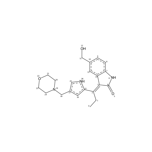 CC/C(=C1\C(=O)Nc2ccc(CO)cc21)c1cc(CN2CCOCC2)c[nH]1